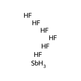 F.F.F.F.F.F.[SbH3]